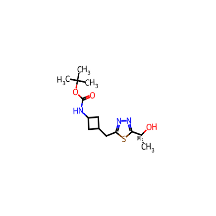 C[C@@H](O)c1nnc(CC2CC(NC(=O)OC(C)(C)C)C2)s1